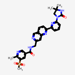 Cc1ncc(C(=O)NCc2cc3nc(-c4cccc(N5CC(C)(C)NC5=O)n4)ccc3cn2)cc1S(C)(=O)=O